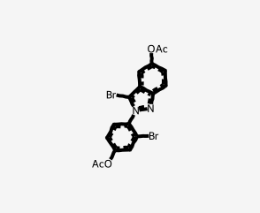 CC(=O)Oc1ccc(-n2nc3ccc(OC(C)=O)cc3c2Br)c(Br)c1